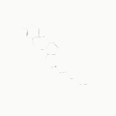 Cc1ccc2c(c1)CCC1=C(C=CC(OC(=O)C(C)CCOCCO)C1=O)O2